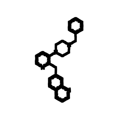 c1ccc(CN2CCN(c3cccnc3Cc3ccc4cccnc4c3)CC2)cc1